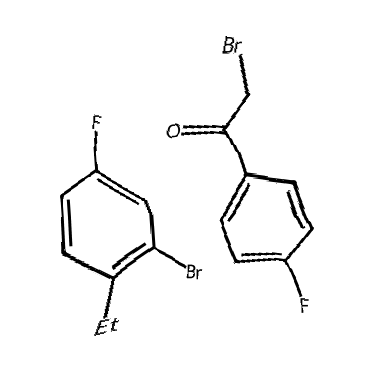 CCc1ccc(F)cc1Br.O=C(CBr)c1ccc(F)cc1